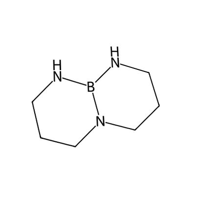 C1CNB2NCCCN2C1